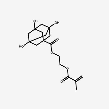 C=C(C)C(=O)OCCOC(=O)C12CC3(O)CC(O)(CC(O)(C3)C1)C2